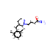 CCC(CNCCCC(N)=O)Cc1c(C)cccc1C